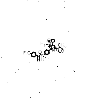 C[C@H]1COCCN1c1cc(C2(S(C)(=O)=O)CCC2)nc(-c2ccc(NC(=O)Nc3ccc(C(F)(F)F)cc3)cc2)n1